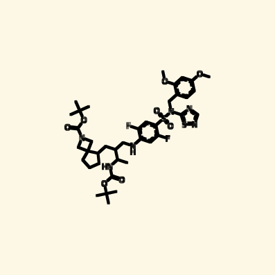 COc1ccc(CN(c2ncns2)S(=O)(=O)c2cc(F)c(NCC(CC3CCCC34CN(C(=O)OC(C)(C)C)C4)C(C)NC(=O)OC(C)(C)C)cc2F)c(OC)c1